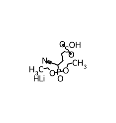 CCOP(=O)(OCC)C(C#N)CCS(=O)(=O)O.[LiH]